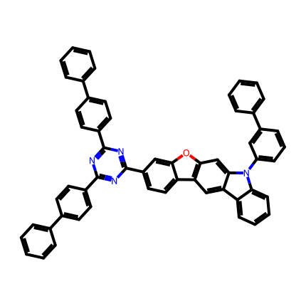 c1ccc(-c2ccc(-c3nc(-c4ccc(-c5ccccc5)cc4)nc(-c4ccc5c(c4)oc4cc6c(cc45)c4ccccc4n6-c4cccc(-c5ccccc5)c4)n3)cc2)cc1